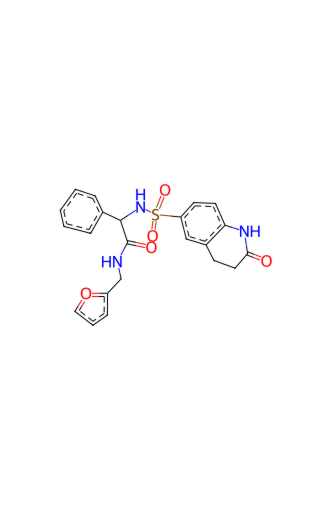 O=C1CCc2cc(S(=O)(=O)NC(C(=O)NCc3ccco3)c3ccccc3)ccc2N1